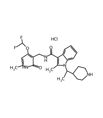 Cc1cc(OC(F)F)c(CNC(=O)c2c(C)n(C(C)C3CCNCC3)c3ccccc23)c(=O)[nH]1.Cl